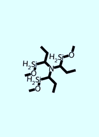 CCC([SiH2]OC)N(C(CC)[SiH2]OC)C(CC)[SiH2]OC